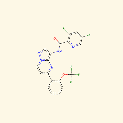 O=C(Nc1cnn2ccc(-c3ccccc3OC(F)(F)F)nc12)c1ncc(F)cc1F